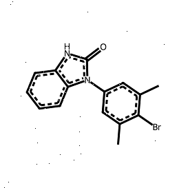 Cc1cc(-n2c(=O)[nH]c3ccccc32)cc(C)c1Br